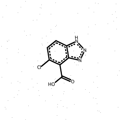 O=C(O)c1c(Cl)ccc2[nH]nnc12